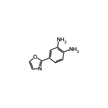 Nc1ccc(-c2ncco2)cc1N